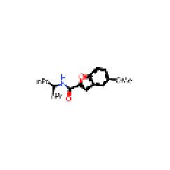 CCCC(CCC)NC(=O)c1cc2cc(OC)ccc2o1